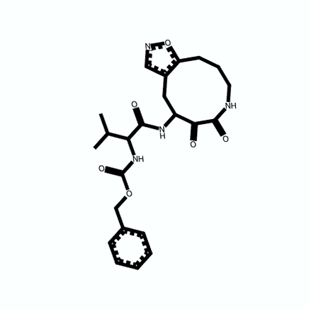 CC(C)C(NC(=O)OCc1ccccc1)C(=O)NC1Cc2cnoc2CCCNC(=O)C1=O